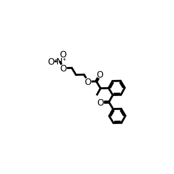 CC(C(=O)OCCCO[N+](=O)[O-])c1ccccc1C(=O)c1ccccc1